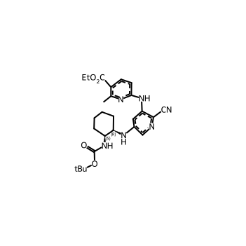 CCOC(=O)c1ccc(Nc2cc(N[C@@H]3CCCC[C@@H]3NC(=O)OC(C)(C)C)cnc2C#N)nc1C